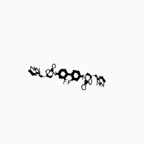 O=C1O[C@@H](Cn2ccnn2)CN1c1ccc(-c2ccc(N3C[C@H](Cn4ccnn4)OC3=O)cc2F)c(F)c1